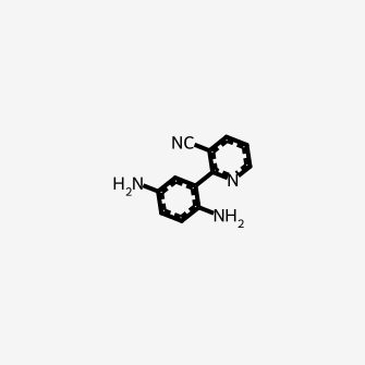 N#Cc1cccnc1-c1cc(N)ccc1N